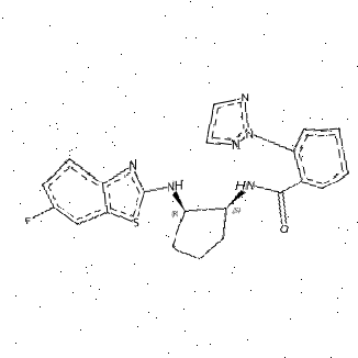 O=C(N[C@H]1CCC[C@H]1Nc1nc2ccc(F)cc2s1)c1ccccc1-n1nccn1